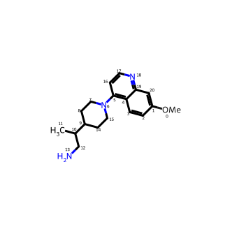 COc1ccc2c(N3CCC(C(C)CN)CC3)ccnc2c1